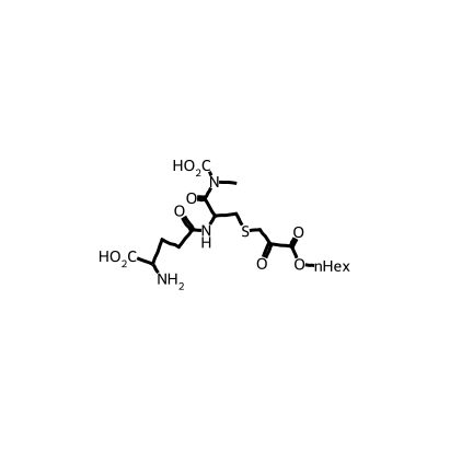 CCCCCCOC(=O)C(=O)CSCC(NC(=O)CCC(N)C(=O)O)C(=O)N(C)C(=O)O